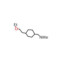 CCOCCC1CCC(CNC)CC1